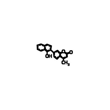 Cc1cc(=O)oc2cc(-c3ccc4ccccc4c3O)ccc12